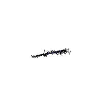 COCCCCCCNC(=O)CC/C(C)=C/CC/C(C)=C/CC/C=C(\C)CC/C=C(\C)CCC=C(C)C